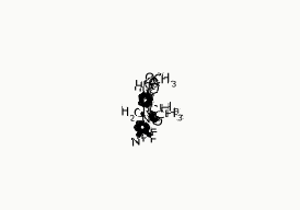 C=C1N(c2ccc(C#N)c(C(F)(F)F)c2)C(=O)C(C)(C)N1c1ccc(NS(C)(=O)=O)cc1